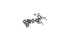 CC1=CC(C)Cc2c1oc1c(C)cc(-c3ccc(-c4cnc5c6ccccc6c6ccccc6c5n4)cc3)cc21